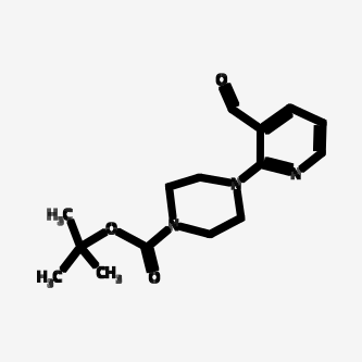 CC(C)(C)OC(=O)N1CCN(c2ncccc2C=O)CC1